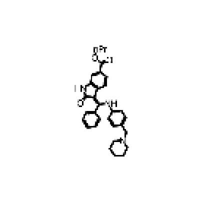 CCCOC(=O)c1ccc2c(c1)NC(=O)C2=C(Nc1ccc(CN2CCCCC2)cc1)c1ccccc1